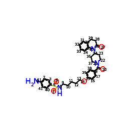 Nc1ccc(S(=O)(=O)NCCCCCOc2ccc(C(=O)N3CCC(N4C(=O)CCc5ccccc54)CC3)cc2)cc1